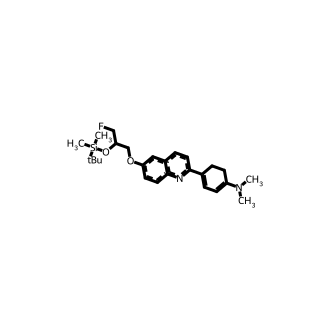 CN(C)C1=CC=C(c2ccc3cc(OCC(CF)O[Si](C)(C)C(C)(C)C)ccc3n2)CC1